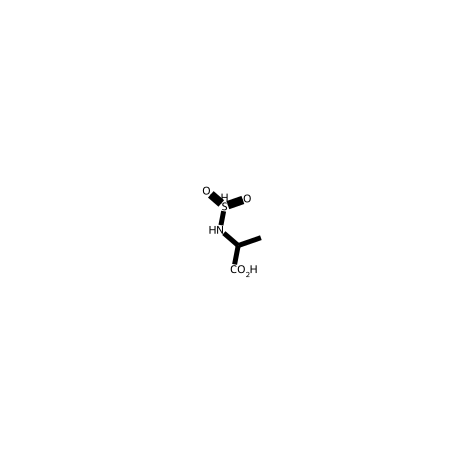 CC(N[SH](=O)=O)C(=O)O